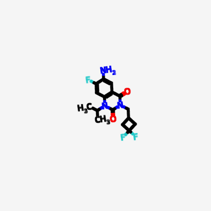 CC(C)n1c(=O)n(CC2CC(F)(F)C2)c(=O)c2cc(N)c(F)cc21